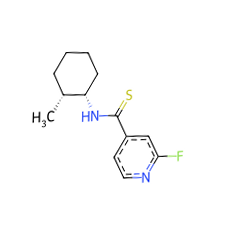 C[C@@H]1CCCC[C@@H]1NC(=S)c1ccnc(F)c1